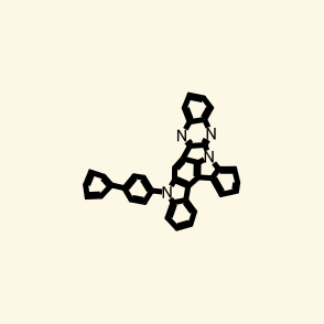 c1ccc(-c2ccc(-n3c4ccccc4c4c5c6ccccc6n6c7nc8ccccc8nc7c(cc43)c56)cc2)cc1